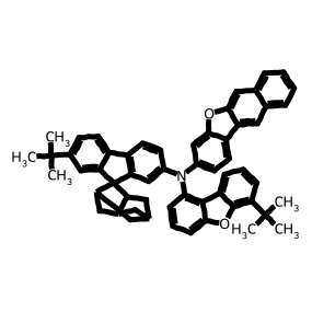 CC(C)(C)c1ccc2c(c1)C1(c3cc(N(c4ccc5c(c4)oc4cc6ccccc6cc45)c4cccc5oc6c(C(C)(C)C)cccc6c45)ccc3-2)C2CC3CC(C2)C1C3